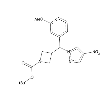 COc1cccc(C(C2CN(C(=O)OC(C)(C)C)C2)n2cc([N+](=O)[O-])cn2)c1